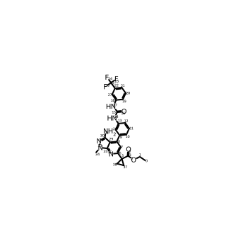 CCOC(=O)C1(c2cc(-c3cccc(NC(=O)Nc4cccc(C(F)(F)F)c4)c3)c3c(N)nn(C)c3n2)CC1